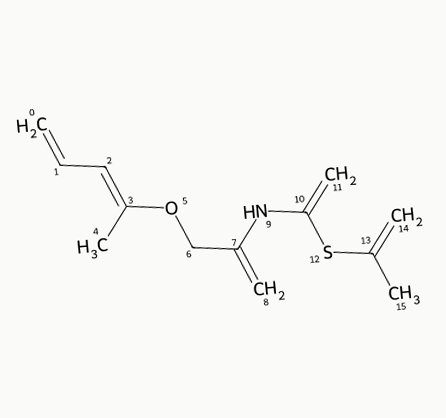 C=C/C=C(\C)OCC(=C)NC(=C)SC(=C)C